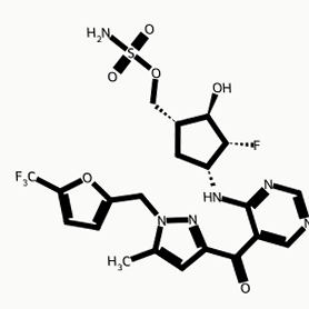 Cc1cc(C(=O)c2cncnc2N[C@@H]2C[C@H](COS(N)(=O)=O)[C@@H](O)[C@@H]2F)nn1Cc1ccc(C(F)(F)F)o1